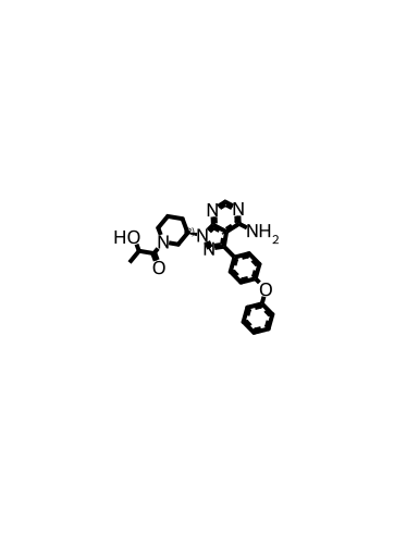 CC(O)C(=O)N1CCC[C@@H](n2nc(-c3ccc(Oc4ccccc4)cc3)c3c(N)ncnc32)C1